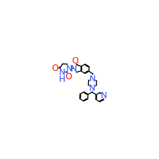 O=C1CCN(N2Cc3cc(CN4CCN(C(c5ccccc5)c5cccnc5)CC4)ccc3C2=O)C(=O)N1